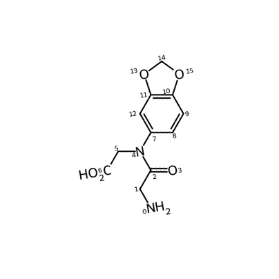 NCC(=O)N(CC(=O)O)c1ccc2c(c1)OCO2